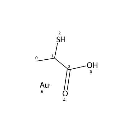 CC(S)C(=O)O.[Au]